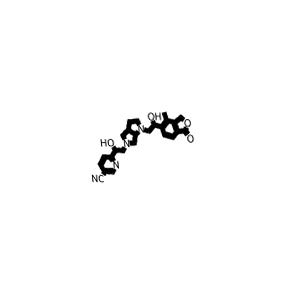 Cc1c(C(O)CN2CCC3CN(CC(O)c4ccc(C#N)cn4)CC32)ccc2c1COC2=O